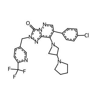 O=c1n(Cc2ccc(C(F)(F)F)nc2)nc2c(N3CC(N4CCCC4)C3)c(-c3ccc(Cl)cc3)cnn12